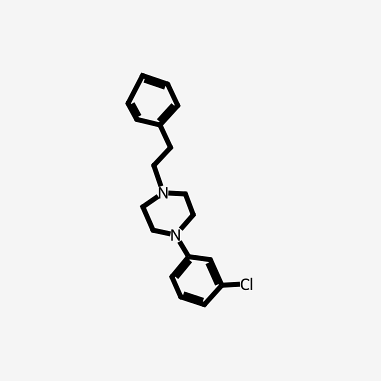 Clc1cccc(N2CCN(CCc3ccccc3)CC2)c1